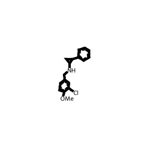 COc1ccc(CNC2CC2c2ccccc2)cc1Cl